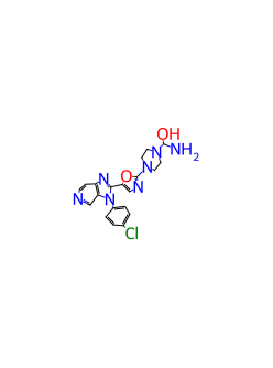 NC(O)N1CCN(c2ncc(-c3nc4ccncc4n3-c3ccc(Cl)cc3)o2)CC1